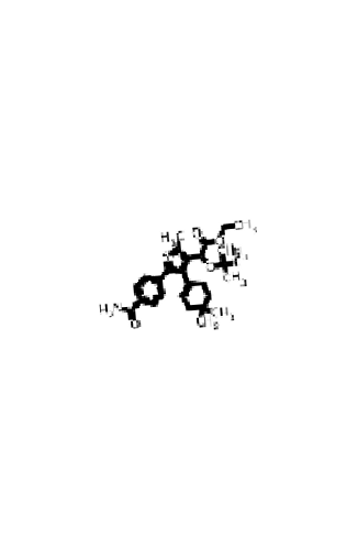 CCOC(=O)C(OC(C)(C)C)c1c(C)sc(-c2ccc(C(N)=O)cc2)c1C1=CCC(C)(C)CC1